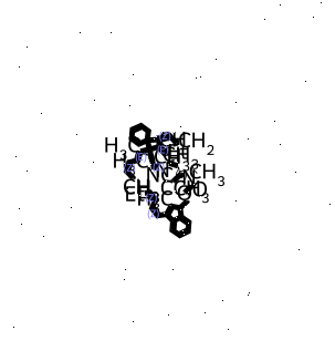 C#CC1(C(/C(C)=C/C=C\C=C)(C(/C=C\C=C)=C/CC)C(C)(C)/C=N\C(C)C[C@H](N(C)C(=O)OCC2C(C)=C(/C=C\C=C/CC)c3ccccc32)C(C)(C)C#N)C=CC=CC1